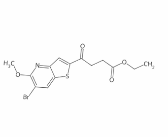 CCOC(=O)CCC(=O)c1cc2nc(OC)c(Br)cc2s1